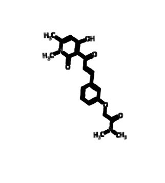 Cc1cc(O)c(C(=O)C=Cc2cccc(OCC(=O)N(C)C)c2)c(=O)n1C